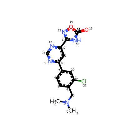 CN(C)Cc1ccc(-c2cc(-c3noc(=O)[nH]3)ncn2)cc1Cl